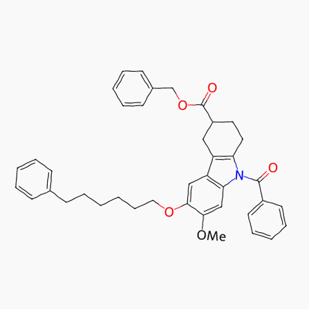 COc1cc2c(cc1OCCCCCCc1ccccc1)c1c(n2C(=O)c2ccccc2)CCC(C(=O)OCc2ccccc2)C1